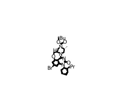 CC(C)c1ccccc1-n1c(=O)nc2c3c(cc(Br)cc31)OC[C@@H]1CN(C(=O)OC(C)(C)C)[C@H](C)CN21